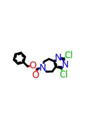 O=C(OCc1ccccc1)N1CCc2nc(Cl)nc(Cl)c2CC1